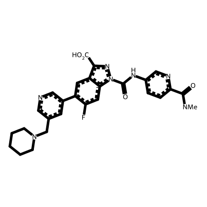 CNC(=O)c1ccc(NC(=O)n2nc(C(=O)O)c3cc(-c4cncc(CN5CCCCC5)c4)c(F)cc32)cn1